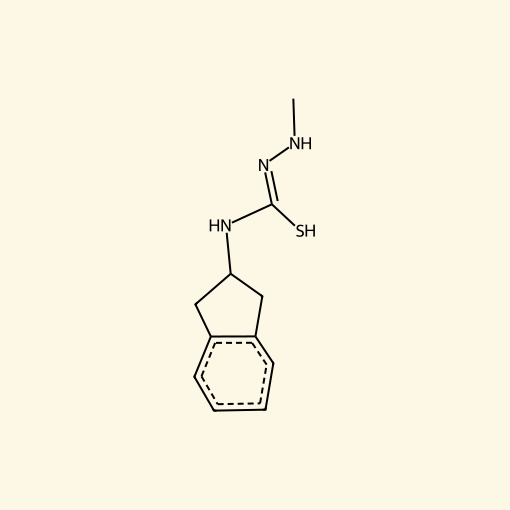 CN/N=C(\S)NC1Cc2ccccc2C1